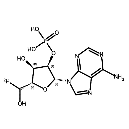 [2H]C(O)[C@H]1O[C@@H](n2cnc3c(N)ncnc32)[C@H](OP(=O)(O)O)[C@@H]1O